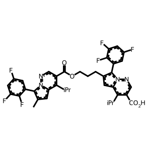 Cc1cc2c(C(C)C)c(C(=O)OCCCc3cc4c(C(C)C)c(C(=O)O)cnn4c3-c3cc(F)cc(F)c3F)cnn2c1-c1cc(F)cc(F)c1F